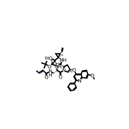 C=C[C@@H]1C[C@]1(NC(=O)[C@@H]1C[C@@H](Oc2cc(-c3ccccc3)nc3cc(OC)ccc23)CN1C(=O)[C@H](CNC(=O)/C=C/C)NC(=O)OC(C)(C)C)C(=O)O